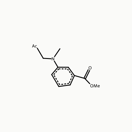 COC(=O)c1cccc(N(C)CC(C)=O)c1